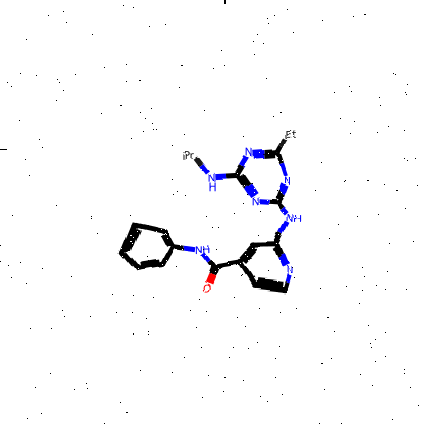 CCc1nc(Nc2cc(C(=O)Nc3ccccc3)ccn2)nc(NC(C)C)n1